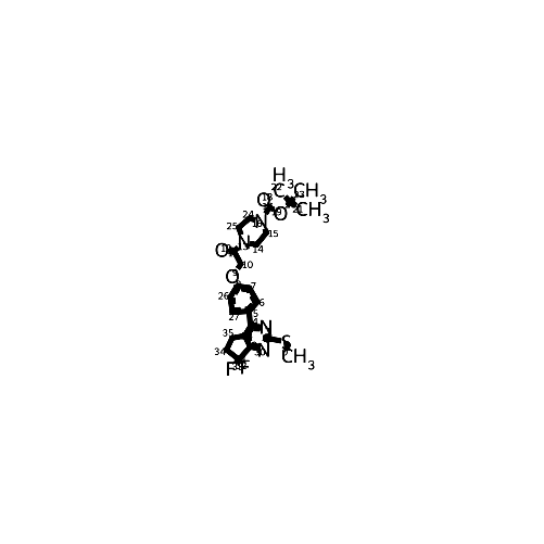 CSc1nc(-c2ccc(OCC(=O)N3CCN(C(=O)OC(C)(C)C)CC3)cc2)c2c(n1)C(F)(F)CC2